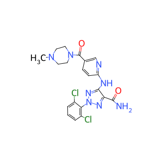 CN1CCN(C(=O)c2ccc(Nc3nn(-c4c(Cl)cccc4Cl)nc3C(N)=O)nc2)CC1